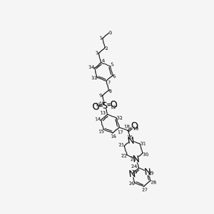 CCCCc1ccc(CCS(=O)(=O)c2cccc(C(=O)N3CCN(c4ncccn4)CC3)c2)cc1